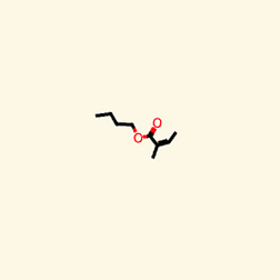 C/C=C(/C)C(=O)OCCCC